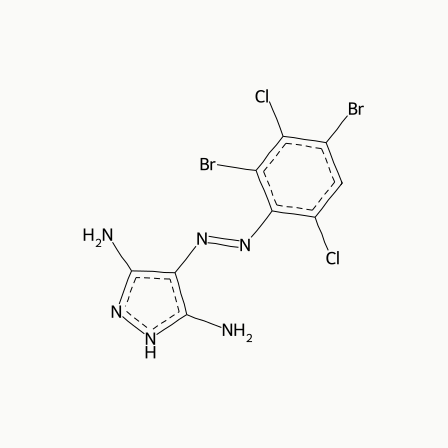 Nc1n[nH]c(N)c1N=Nc1c(Cl)cc(Br)c(Cl)c1Br